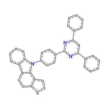 c1ccc(-c2cc(-c3ccccc3)nc(-c3ccc(-n4c5ccccc5c5ccc6sccc6c54)cc3)n2)cc1